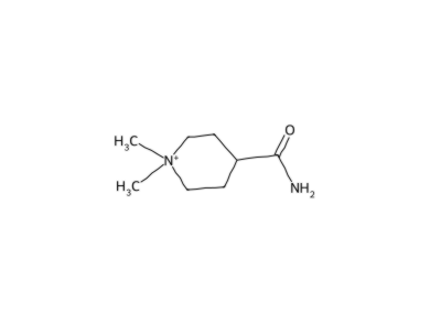 C[N+]1(C)CCC(C(N)=O)CC1